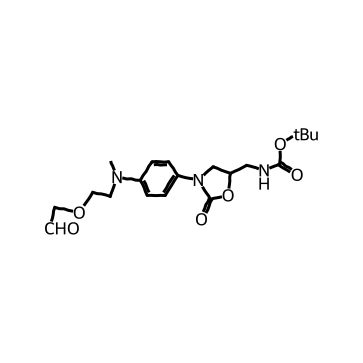 CN(CCOCC=O)c1ccc(N2CC(CNC(=O)OC(C)(C)C)OC2=O)cc1